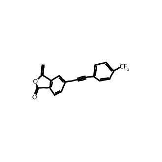 C=C1OC(=O)c2ccc(C#Cc3ccc(C(F)(F)F)cc3)cc21